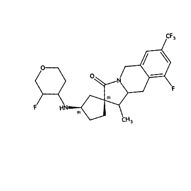 CC1C2Cc3c(F)cc(C(F)(F)F)cc3CN2C(=O)[C@]12CC[C@@H](NC1CCOCC1F)C2